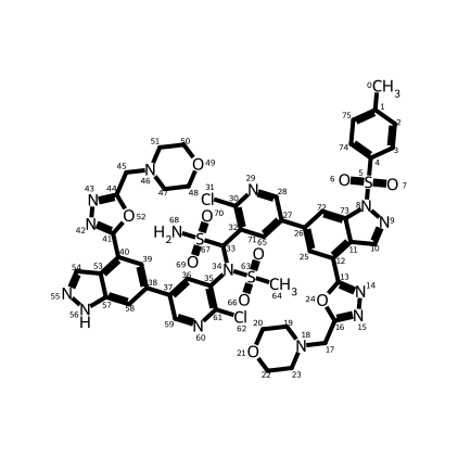 Cc1ccc(S(=O)(=O)n2ncc3c(-c4nnc(CN5CCOCC5)o4)cc(-c4cnc(Cl)c(C(N(c5cc(-c6cc(-c7nnc(CN8CCOCC8)o7)c7cn[nH]c7c6)cnc5Cl)S(C)(=O)=O)S(N)(=O)=O)c4)cc32)cc1